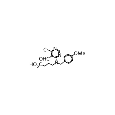 COc1ccc(CN(CCCC(=O)O)c2ncnc(Cl)c2C=O)cc1